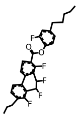 CCCCCc1ccc(OC(=O)c2ccc3c(c2F)C(F)C(F)c2c-3ccc(CCC)c2F)c(F)c1